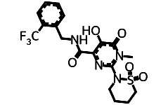 Cn1c(N2CCCCS2(=O)=O)nc(C(=O)NCc2ccccc2C(F)(F)F)c(O)c1=O